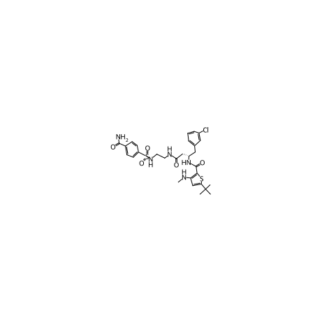 CNc1cc(C(C)(C)C)sc1C(=O)N[C@H](CC(=O)NCCNS(=O)(=O)c1ccc(C(N)=O)cc1)Cc1cccc(Cl)c1